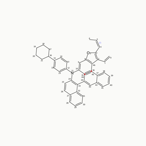 C=Cc1c(/C=C\C)oc2cc(N(c3ccc(C4CCCCC4)cc3)c3ccc4ccccc4c3-c3ccc4ccccc4c3)ccc12